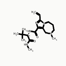 C=Cc1nc(C(=O)N[C@H](C(=O)NC)C(C)(C)C)c2n1CCCN(C)C2